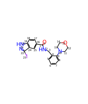 O=C(NCc1ccccc1N1CCOCC1)c1ccc2[nH]nc(I)c2c1